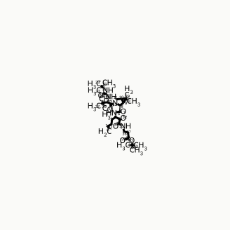 C=CCCC(NC(=O)[C@@H]1C2C(CN1C(=O)[C@@H](NC(=O)NC(C)(C)C)C(C)(C)C)C2(C)C)C(=O)C(=O)NCCC(=O)OC(C)(C)C